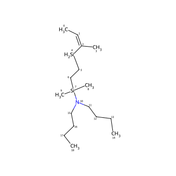 CC=C(C)[SiH2]CC[Si](C)(C)N(CCCC)CCCC